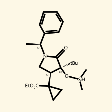 CCOC(=O)C1([C@H]2CN([C@@H](C)c3ccccc3)C(=O)[C@]2(O[SiH](C)C)C(C)(C)C)CC1